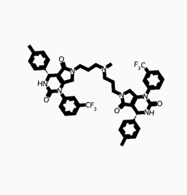 Cc1ccc([C@H]2NC(=O)N(c3cccc(C(F)(F)F)c3)C3=C2C(=O)N(CCCN(C)CCCN2CC4=C(C2=O)[C@@H](c2ccc(C)cc2)NC(=O)N4c2cccc(C(F)(F)F)c2)C3)cc1